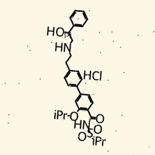 CC(C)Oc1cc(-c2ccc(CCNC[C@@H](O)c3ccccc3)cc2)ccc1C(=O)NS(=O)(=O)C(C)C.Cl